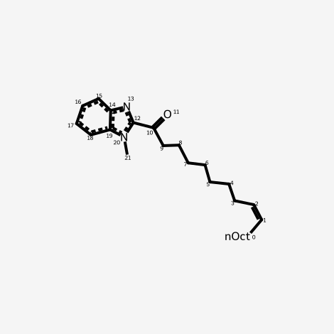 CCCCCCCC/C=C\CCCCCCCC(=O)c1nc2ccccc2n1C